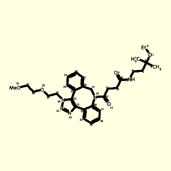 CCOC(C)(C)CCNC(=O)CCC(=O)N1Cc2ccccc2-c2c(nnn2CCOCCOC)-c2ccccc21